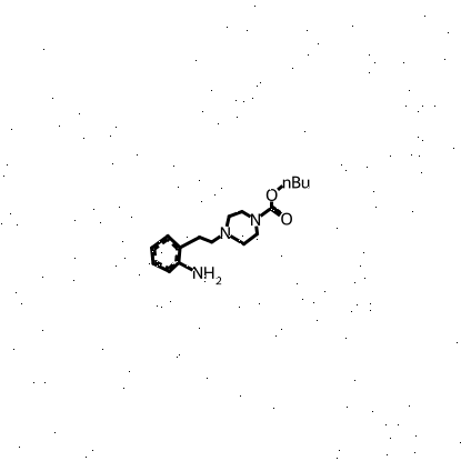 CCCCOC(=O)N1CCN(CCc2ccccc2N)CC1